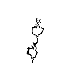 CCN1CCN(CCN2CCN(C)CC2)CC1